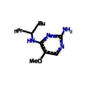 CCCC(Nc1nc(N)ncc1OC)C(C)CC